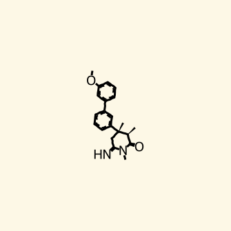 COc1cccc(-c2cccc([C@@]3(C)CC(=N)N(C)C(=O)[C@@H]3C)c2)c1